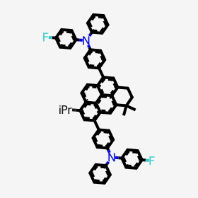 CC(C)c1cc(-c2ccc(N(c3ccccc3)c3ccc(F)cc3)cc2)c2cc3c4c(cc(-c5ccc(N(c6ccccc6)c6ccc(F)cc6)cc5)c5ccc1c2c54)CCC3(C)C